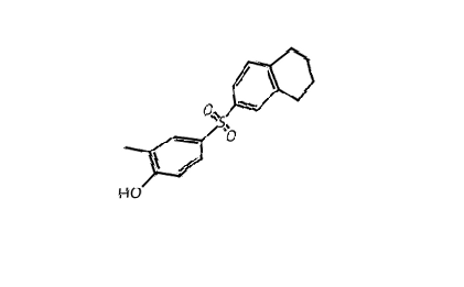 Cc1cc(S(=O)(=O)c2ccc3c(c2)CCCC3)ccc1O